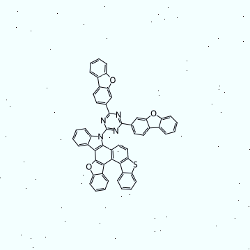 c1ccc2c(c1)oc1cc(-c3nc(-c4ccc5c(c4)oc4ccccc45)nc(-n4c5ccccc5c5c6oc7ccccc7c6c6c(ccc7sc8ccccc8c76)c54)n3)ccc12